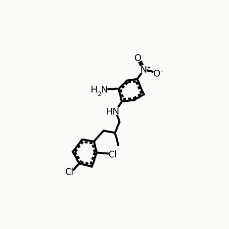 CC(CNc1ccc([N+](=O)[O-])cc1N)Cc1ccc(Cl)cc1Cl